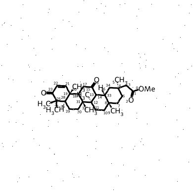 COC(=O)C[C@@]1(C)CC[C@]2(C)CC[C@]3(C)C(C(=O)CC4[C@@]5(C)C=CC(=O)C(C)(C)[C@@H]5CC[C@]43C)[C@@H]2C1